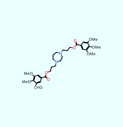 COc1cc(C(=O)OCCCN2CCCN(CCCOC(=O)c3cc(OC)c(OC)c(OC)c3)CC2)cc(C=O)c1OC